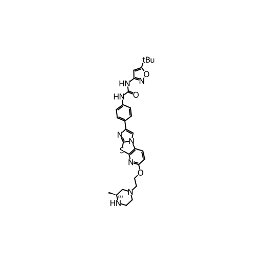 C[C@H]1CN(CCOc2ccc3c(n2)sc2nc(-c4ccc(NC(=O)Nc5cc(C(C)(C)C)on5)cc4)cn23)CCN1